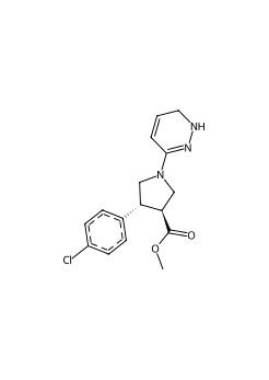 COC(=O)[C@@H]1CN(C2=NNCC=C2)C[C@H]1c1ccc(Cl)cc1